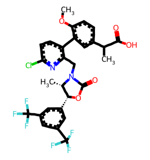 COc1ccc(C(C)C(=O)O)cc1-c1ccc(Cl)nc1CN1C(=O)O[C@H](c2cc(C(F)(F)F)cc(C(F)(F)F)c2)[C@@H]1C